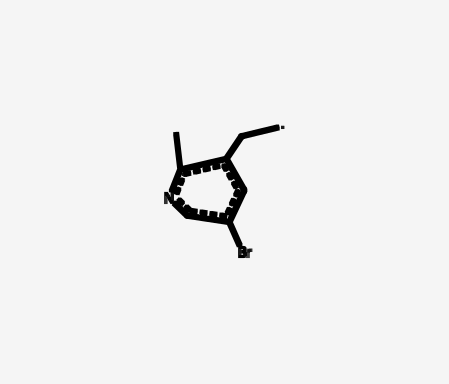 [CH2]Cc1cc(Br)cnc1C